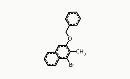 Cc1c(OCc2ccccc2)cc2ccccc2c1Br